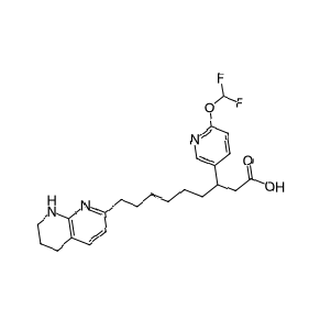 O=C(O)CC(CCCCCCc1ccc2c(n1)NCCC2)c1ccc(OC(F)F)nc1